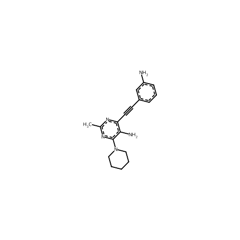 Cc1nc(C#Cc2cccc(N)c2)c(N)c(N2CCCCC2)n1